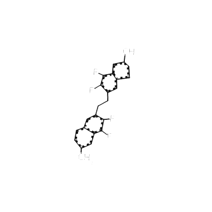 Cc1ccc2cc(CCc3cc4ccc(C)cc4c(F)c3F)c(F)c(F)c2c1